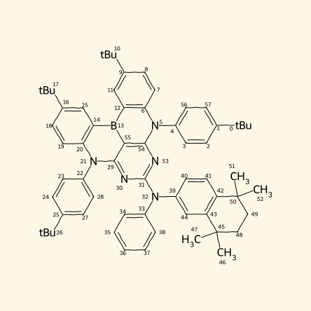 CC(C)(C)c1ccc(N2c3ccc(C(C)(C)C)cc3B3c4cc(C(C)(C)C)ccc4N(c4ccc(C(C)(C)C)cc4)c4nc(N(c5ccccc5)c5ccc6c(c5)C(C)(C)CCC6(C)C)nc2c43)cc1